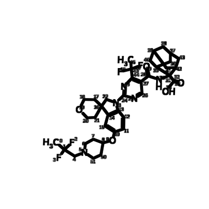 CC(F)(F)CN1CCC(Oc2ccc3c(c2)C2(CCOCC2)CN3c2ncc(C(=O)NC3(C(=O)O)C4CC5CC(C4)CC3C5)c(C(C)(F)F)n2)CC1